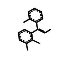 C/C=C(\c1ccccc1C)c1cccc(C)c1C